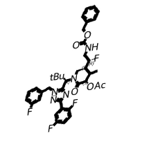 CC(=O)O[C@@H]1C(=O)N([C@@H](c2nc(-c3cc(F)ccc3F)nn2Cc2cccc(F)c2)C(C)(C)C)C[C@@H]([C@@H](F)CNC(=O)OCc2ccccc2)C1C